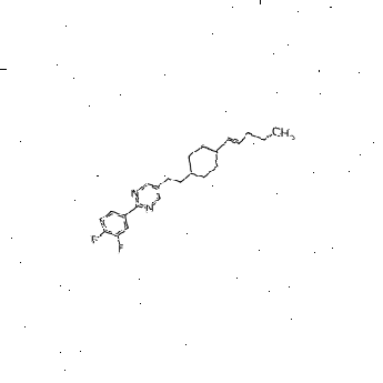 CCCC=CC1CCC(CCc2cnc(-c3ccc(F)c(F)c3)nc2)CC1